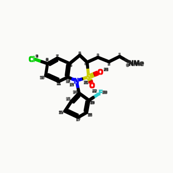 CNCCCC1Cc2cc(Cl)ccc2N(c2ccccc2F)S1(=O)=O